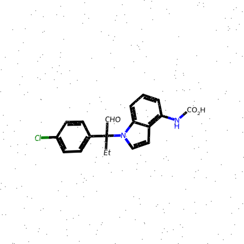 CCC(C=O)(c1ccc(Cl)cc1)n1ccc2c(NC(=O)O)cccc21